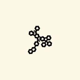 c1ccc(-n2c3ccccc3c3cc4c(cc32)c2cc3c(cc2n4-c2ccc(-c4ccc5ccccc5c4)cc2)C(c2ccccc2)(c2ccccc2)c2ccccc2-3)cc1